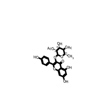 CC(=O)OC1[C@H](C)OC(Oc2c(-c3ccc(O)cc3)oc3cc(O)cc(O)c3c2=O)[C@H](OC(C)=O)[C@@H]1O